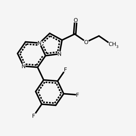 CCOC(=O)c1cn2ccnc(-c3cc(F)cc(F)c3F)c2n1